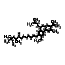 C=C(CC(C)(C)C)NCCCCCCCc1cc2c(cc1CC)C1=CC(=C)C(C(=C)C)=CN1C[C@@H]2CCC(C)C